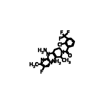 Cc1nc(N(N)C2=C(N)C(C)N(C(=O)c3cccc(C(F)(F)F)c3Cl)CC2)ncc1F